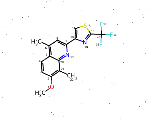 COc1ccc2c(C)cc(-c3csc(C(F)(F)F)n3)nc2c1C